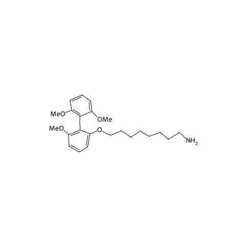 COc1cccc(OC)c1-c1c(OC)cccc1OCCCCCCCCN